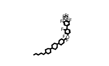 CCCCCC1CCC(C2CCC(C3CCC(C(F)(F)Oc4ccc(-c5cc(F)c(S(F)(F)(F)(F)F)c(F)c5)c(F)c4)CC3)CC2)CC1